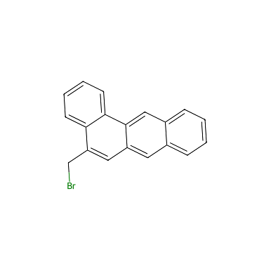 BrCc1cc2cc3ccccc3cc2c2ccccc12